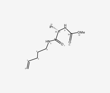 C=CCCCNC(=O)[C@@H](NC(=O)OC)C(C)C